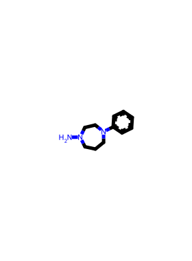 NN1CCCN(c2ccccc2)CC1